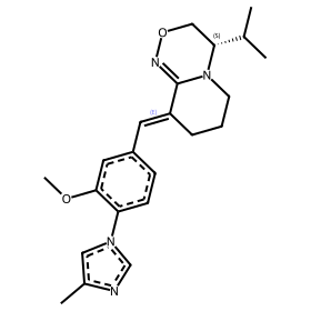 COc1cc(/C=C2\CCCN3C2=NOC[C@@H]3C(C)C)ccc1-n1cnc(C)c1